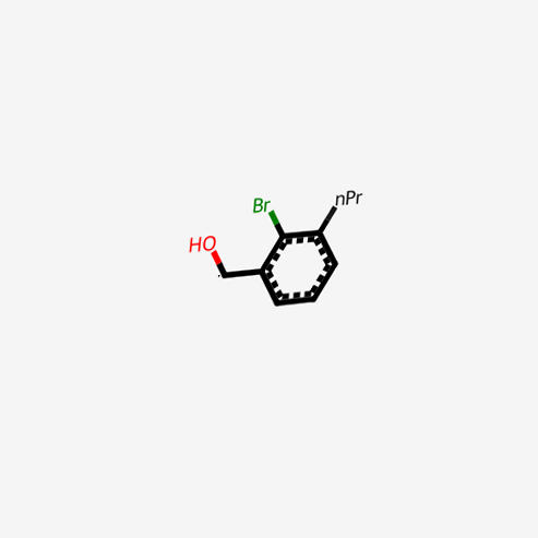 CCCc1cccc([CH]O)c1Br